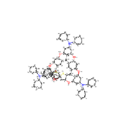 CC(C)(C)C1=CC2Oc3cc(N(c4ccccc4)c4ccccc4)cc4c3B(c3cc5c(cc3O4)Oc3cc(N(c4ccccc4)c4ccccc4)cc4c3B5c3cc5c(cc3O4)Oc3cc(N(c4ccccc4)c4ccccc4)cc4c3B5C3SC(C(C)(C)C)=CC3O4)C2S1